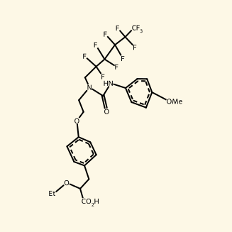 CCOC(Cc1ccc(OCCN(CC(F)(F)C(F)(F)C(F)(F)C(F)(F)C(F)(F)F)C(=O)Nc2ccc(OC)cc2)cc1)C(=O)O